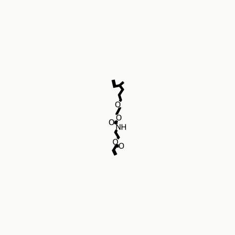 C=CC(=O)OCCNC(=O)OCCOCCCC(C)C=C